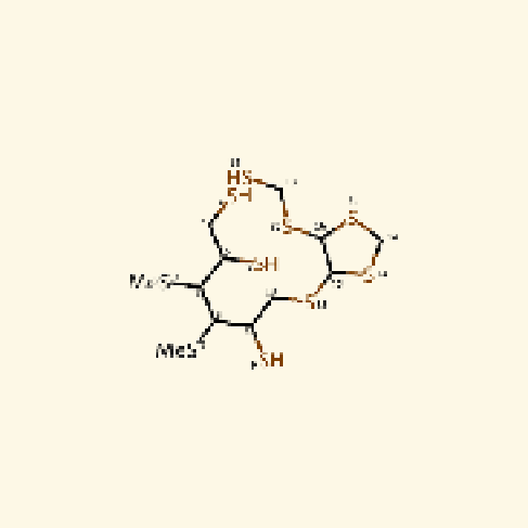 CSC(C(S)CS)C(SC)C(S)CSC1SCSC1SCS